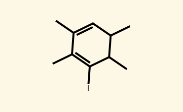 CC1=CC(C)C(C)C(I)=C1C